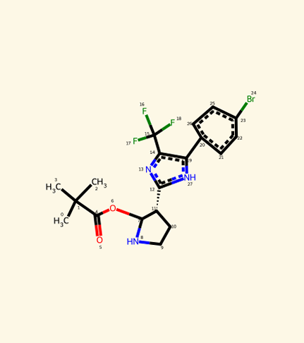 CC(C)(C)C(=O)OC1NCC[C@H]1c1nc(C(F)(F)F)c(-c2ccc(Br)cc2)[nH]1